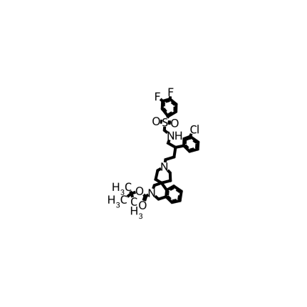 CC(C)(C)OC(=O)N1Cc2ccccc2C2(CCN(CCC(CNCS(=O)(=O)c3ccc(F)c(F)c3)c3cccc(Cl)c3)CC2)C1